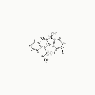 CCCn1c(=O)n(C(c2ccccc2)[C@H](O)CO)c2cc(F)ccc21